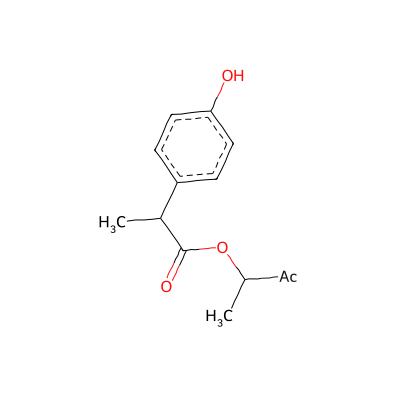 CC(=O)C(C)OC(=O)C(C)c1ccc(O)cc1